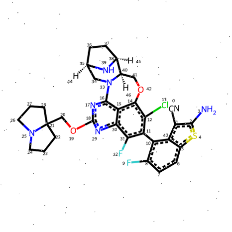 N#Cc1c(N)sc2ccc(F)c(-c3c(Cl)c4c5c(nc(OCC67CCCN6CCC7)nc5c3F)N3C[C@H]5CC[C@H](N5)[C@H]3CO4)c12